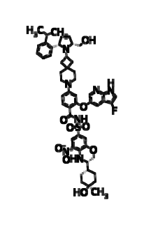 CC(C)c1ccccc1[C@@H]1CC[C@H](CO)N1C1CC2(CCN(c3ccc(C(=O)NS(=O)(=O)c4cc5c(c([N+](=O)[O-])c4)N[C@@H]([C@H]4CC[C@](C)(O)CC4)CO5)c(Oc4cnc5[nH]cc(F)c5c4)c3)CC2)C1